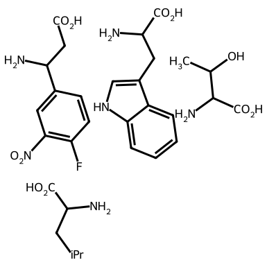 CC(C)CC(N)C(=O)O.CC(O)C(N)C(=O)O.NC(CC(=O)O)c1ccc(F)c([N+](=O)[O-])c1.NC(Cc1c[nH]c2ccccc12)C(=O)O